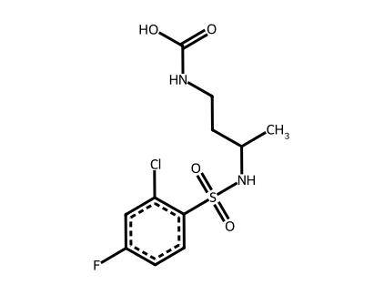 CC(CCNC(=O)O)NS(=O)(=O)c1ccc(F)cc1Cl